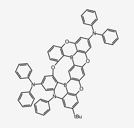 CC(C)(C)c1cc2c3c(c1)N(c1ccccc1)c1cc(N(c4ccccc4)c4ccccc4)cc4c1B3c1cc3c(cc1O2)Oc1cc(N(c2ccccc2)c2ccccc2)cc2c1B3c1c(cccc1O4)O2